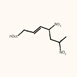 [CH2]C(CC(C=CCCCCCCCCC)[N+](=O)[O-])[N+](=O)[O-]